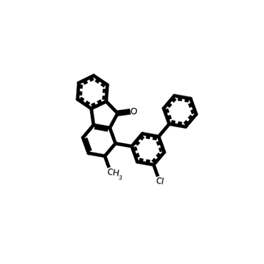 CC1C=CC2=C(C(=O)c3ccccc32)C1c1cc(Cl)cc(-c2ccccc2)c1